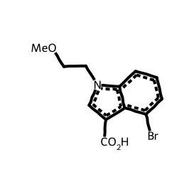 COCCn1cc(C(=O)O)c2c(Br)cccc21